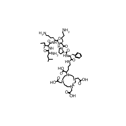 CC[C@H](C)[C@H](NC(=O)[C@@H](N)CC(C)C)C(=O)N[C@@H](CCCCN)C(=O)N[C@@H](CCCCN)C(=O)N1CCC[C@H]1C(=O)N[C@H](Cc1ccccc1)C(=O)NCCCC(C(=O)O)N1CCN(CC(=O)O)CCN(CC(=O)O)CCN(CC(=O)O)CC1